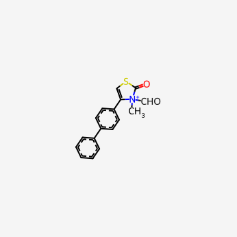 C[N+]1(C=O)C(=O)SC=C1c1ccc(-c2ccccc2)cc1